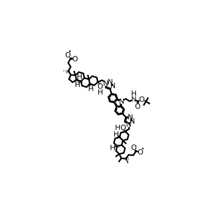 COC(=O)CC[C@@H](C)C(C)C1(C)CCC2[C@@H](CC[C@@H]3C[C@](O)(Cn4cc(-c5ccc6c7ccc(-c8cn(C[C@]9(O)CCC%10(C)C%11CCC%12(C)C([C@H](C)CCC(=O)OC)CC[C@H]%12[C@@H]%11CC[C@@H]%10C9)nn8)cc7n(CCNC(=O)OC(C)(C)C)c6c5)nn4)CCC23C)C1